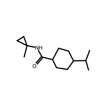 CC(C)C1CCC(C(=O)NC2(C)CC2)CC1